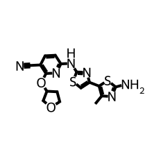 Cc1nc(N)sc1-c1csc(Nc2ccc(C#N)c(OC3CCOC3)n2)n1